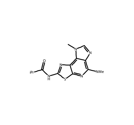 CNc1nc2sc(NC(=O)C(C)C)nc2c2c1ncn2C